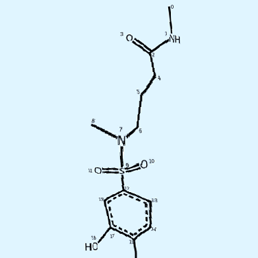 CNC(=O)CCCN(C)S(=O)(=O)c1ccc(C)c(O)c1